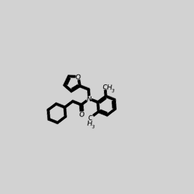 Cc1cccc(C)c1N(Cc1ccco1)C(=O)CC1CCCCC1